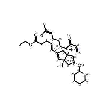 CCOC(=O)CCC=CC1=C[C@H]2C[C@@H](OC3CCCCO3)[C@@H](/C=C\C(=O)C[C@H](C)CCC=C(C)C)[C@H]2C1